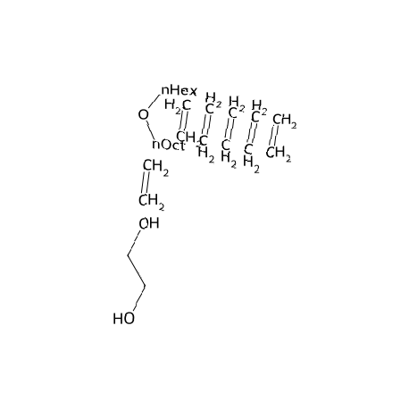 C=C.C=C.C=C.C=C.C=C.C=C.CCCCCCCCOCCCCCC.OCCO